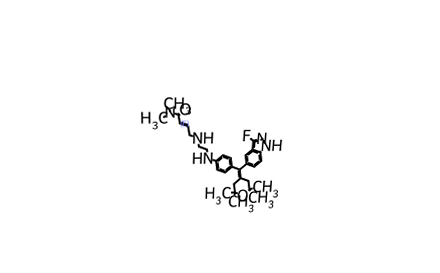 CN(C)C(=O)/C=C/CNCCNc1ccc(C(=C2CC(C)(C)OC(C)(C)C2)c2ccc3[nH]nc(F)c3c2)cc1